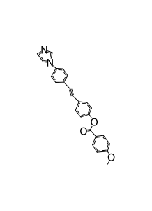 COc1ccc(C(=O)Oc2ccc(C#Cc3ccc(-n4ccnc4)cc3)cc2)cc1